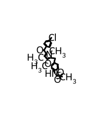 COc1cc(NS(C)(=O)=O)ccc1Cc1cc(C)c(C(=O)c2ccc(Cl)cc2)n1C